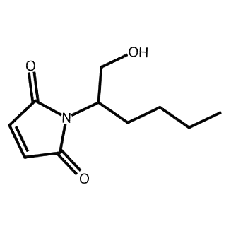 CCCCC(CO)N1C(=O)C=CC1=O